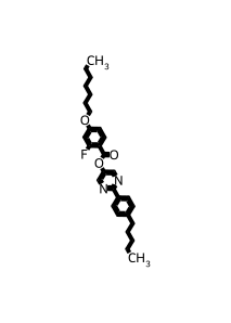 CCCCCCCOc1ccc(C(=O)Oc2cnc(-c3ccc(CCCCC)cc3)nc2)c(F)c1